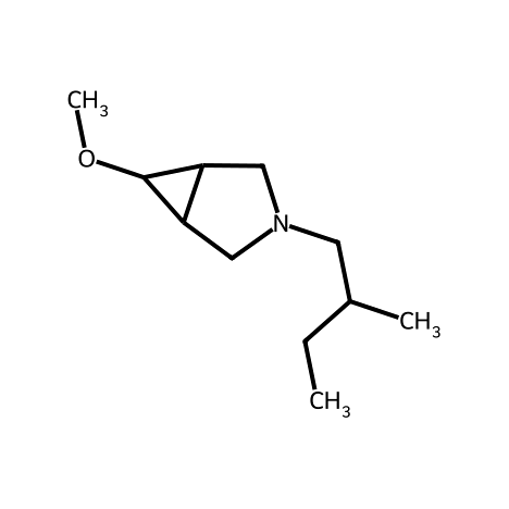 CCC(C)CN1CC2C(C1)C2OC